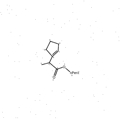 CCCCCOC(=O)C(C)C1=CCCC1